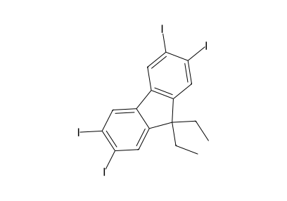 CCC1(CC)c2cc(I)c(I)cc2-c2cc(I)c(I)cc21